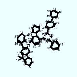 CC1(C)c2ccccc2-c2cc3c(cc21)c1ccccc1n3-c1ccc(-c2nc(-c3ccccc3)nc(-c3ccc(-c4ccccc4)cc3)n2)c2c1oc1ccccc12